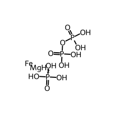 O=P(O)(O)O.O=P(O)(O)OP(=O)(O)O.[Fe].[MgH2]